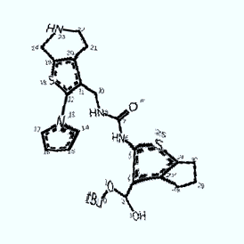 CC(C)(C)OC(O)c1c(NC(=O)NCc2c(-n3cccc3)sc3c2CCNC3)sc2c1CCC2